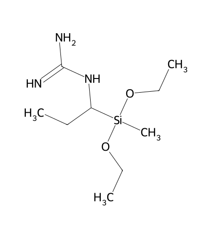 CCO[Si](C)(OCC)C(CC)NC(=N)N